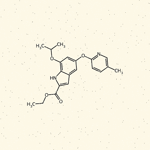 CCOC(=O)c1cc2cc(Oc3ccc(C)cn3)cc(OC(C)C)c2[nH]1